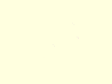 COc1cccc(-c2cn[c]nc2)n1